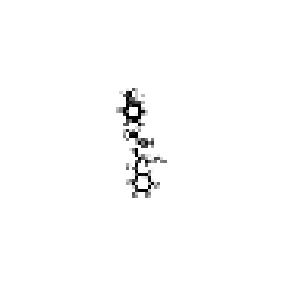 N[C@H](CNC(=O)Oc1ccc([N+](=O)[O-])cc1)CC1CCCCC1